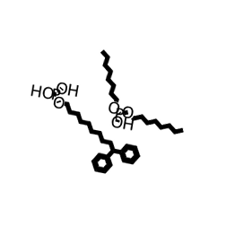 CCCCCCCCOP(O)OCCCCCCCC.OP(O)OCCCCCCCCCC(c1ccccc1)c1ccccc1